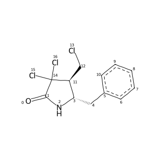 O=C1N[C@@H](Cc2ccccc2)[C@H](CCl)C1(Cl)Cl